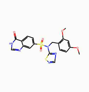 COc1ccc(CN(c2ncns2)S(=O)(=O)c2ccc3c(=O)[nH]cnc3c2)c(OC)c1